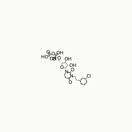 O=c1ccn([C@@H]2O[C@H](COP(=O)(O)OP(=O)(O)O)C(O)[C@@H]2O)c(=O)n1CCc1cccc(Cl)c1